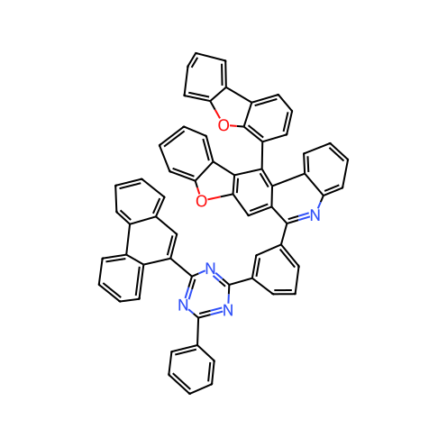 c1ccc(-c2nc(-c3cccc(-c4nc5ccccc5c5c(-c6cccc7c6oc6ccccc67)c6c(cc45)oc4ccccc46)c3)nc(-c3cc4ccccc4c4ccccc34)n2)cc1